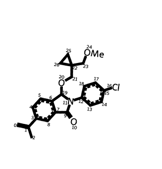 C=C(C)c1ccc2c(c1)C(=O)N(c1ccc(Cl)cc1)C2OCC1(COC)CC1